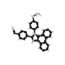 COc1ccc(-n2c(-c3ccc(C=O)cc3)nc3c4ccccc4c4ccccc4c32)cc1